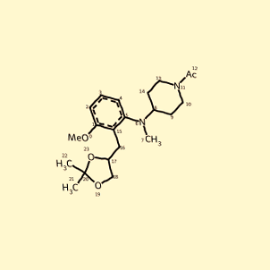 COc1cccc(N(C)C2CCN(C(C)=O)CC2)c1CC1COC(C)(C)O1